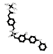 CC(C)(C)OC(=O)Cc1ccc(CNS(=O)(=O)Cc2ccc(-c3ccc(Oc4ccccc4)cc3)c(Cl)c2)cc1